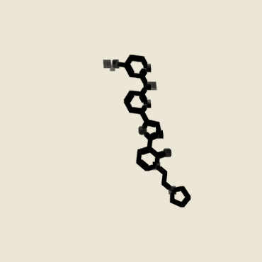 Cc1ccnc(Nc2cccc(-c3cnc(-c4cccn(CCN5CCCC5)c4=O)o3)n2)c1